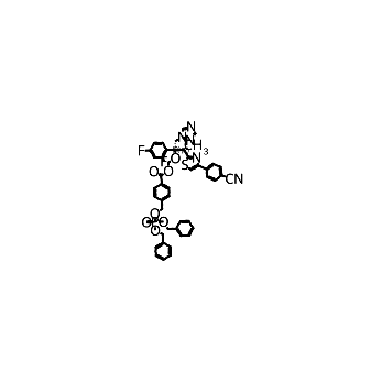 C[C@@H](c1nc(-c2ccc(C#N)cc2)cs1)[C@@](Cn1cncn1)(OCOC(=O)c1ccc(COP(=O)(OCc2ccccc2)OCc2ccccc2)cc1)c1ccc(F)cc1F